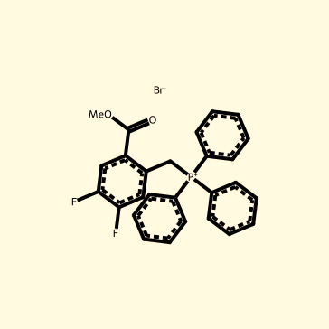 COC(=O)c1cc(F)c(F)cc1C[P+](c1ccccc1)(c1ccccc1)c1ccccc1.[Br-]